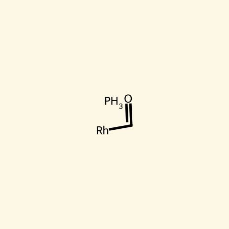 O=[CH][Rh].P